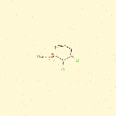 CO[C@H]1C=CC=C(Cl)C1Cl